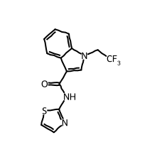 O=C(Nc1nccs1)c1cn(CC(F)(F)F)c2ccccc12